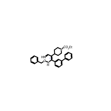 CCOC(=O)N1CCC(/C(C=N)=C(/NOCc2ccccc2)c2cccc(-c3ccccc3)c2)CC1